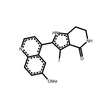 COc1ccc2nccc(-c3[nH]c4c(c3I)C(=O)NCC4)c2c1